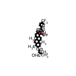 C/C(=C1/C2CCC3C(C)(CCC4C(C)C(OC(=O)CC(C)(C)C=O)CCC43C)C2CCC1(CC=O)c1nnc(-c2ccc(C(F)(F)F)cn2)o1)C(C)C